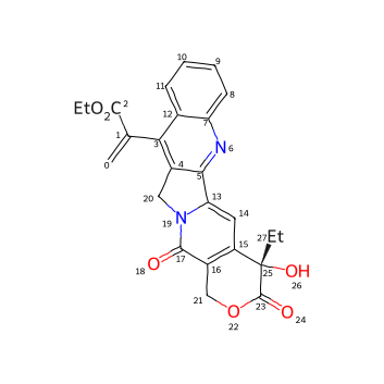 C=C(C(=O)OCC)c1c2c(nc3ccccc13)-c1cc3c(c(=O)n1C2)COC(=O)[C@]3(O)CC